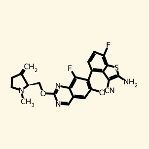 C=C1CCN(C)[C@@H]1COc1ncc2cc(Cl)c(-c3ccc(F)c4sc(N)c(C#N)c34)c(F)c2n1